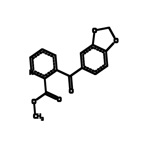 COC(=O)c1ncccc1C(=O)c1ccc2c(c1)OCO2